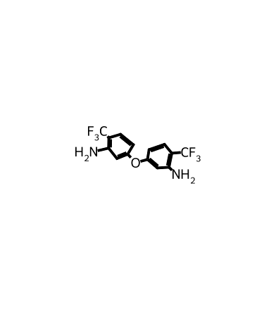 Nc1cc(Oc2ccc(C(F)(F)F)c(N)c2)ccc1C(F)(F)F